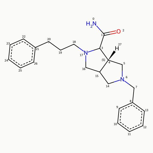 NC(=O)C1[C@@H]2CN(Cc3ccccc3)CC2CN1CC[CH]c1ccccc1